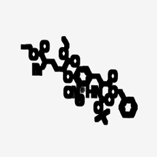 CCOC(=O)C(Br)CCC(Oc1ccc(CC(NC(=O)OC(C)(C)C)C(=O)OCc2ccccc2)cc1[N+](=O)[O-])C(=O)OCC